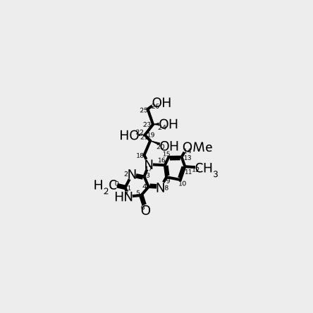 C=c1nc2c(c(=O)[nH]1)=Nc1cc(C)c(OC)cc1N2C[C@H](O)[C@H](O)[C@H](O)CO